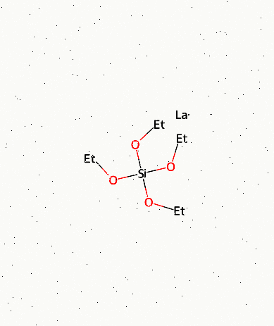 CCO[Si](OCC)(OCC)OCC.[La]